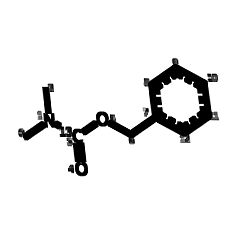 CN(C)[13C](=O)OCc1ccccc1